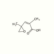 CC(=CC1(C)CO1)C(=O)O